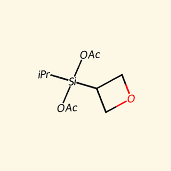 CC(=O)O[Si](OC(C)=O)(C(C)C)C1COC1